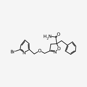 NC(=O)C1(Cc2ccccc2)CC(COCc2cccc(Br)n2)=NO1